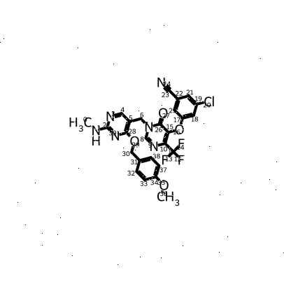 CNc1ncc(Cn2cnc(C(F)(F)F)c(Oc3cc(Cl)cc(C#N)c3)c2=O)c(OCc2ccc(OC)cc2)n1